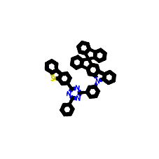 c1ccc(-c2nc(-c3cccc(-n4c5ccccc5c5cc6c(cc54)-c4ccccc4C64c5ccccc5-c5ccccc54)c3)nc(-c3ccc4c(c3)sc3ccccc34)n2)cc1